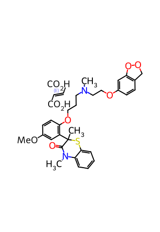 COc1ccc(OCCCN(C)CCOc2ccc3c(c2)OOC3)c(C2(C)Sc3ccccc3N(C)C2=O)c1.O=C(O)/C=C/C(=O)O